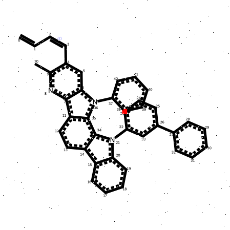 C=C/C=C\c1cc2c(nc1C)c1ccc3c4ccccc4n(-c4cccc(-c5ccccc5)c4)c3c1n2-c1ccccc1